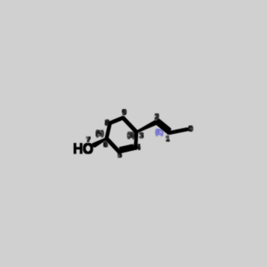 C/C=C/[C@H]1C=C[C@@H](O)CC1